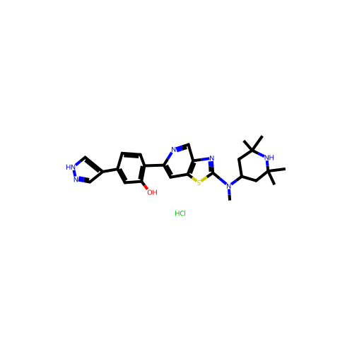 CN(c1nc2cnc(-c3ccc(-c4cn[nH]c4)cc3O)cc2s1)C1CC(C)(C)NC(C)(C)C1.Cl